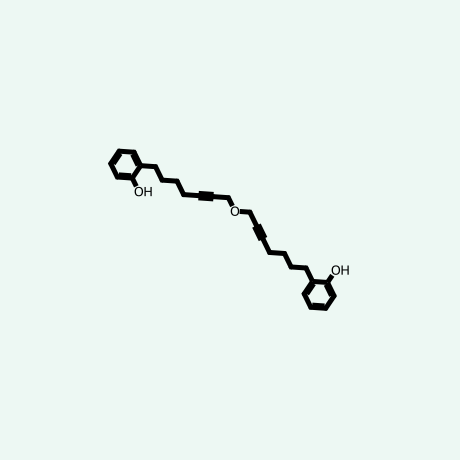 Oc1ccccc1CCCCC#CCOCC#CCCCCc1ccccc1O